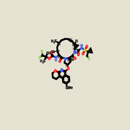 CC[C@@H]1C[C@@H](C)CC/C=C\[C@@H]2C[C@@]2(C(=O)NS(=O)(=O)C2(CF)CC2)NC(=O)[C@@H]2C[C@@H](Oc3nc4c(c5cc(OC)ccc35)CCCO4)CN2C(=O)[C@H]1NC(=O)OC(C)(C)C(F)F